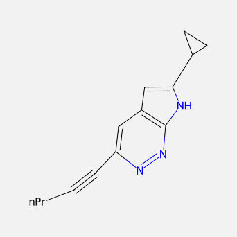 [CH2]CCC#Cc1cc2cc(C3CC3)[nH]c2nn1